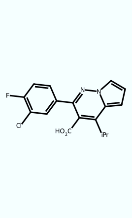 CC(C)c1c(C(=O)O)c(-c2ccc(F)c(Cl)c2)nn2cccc12